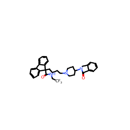 O=C1c2ccccc2CN1C1CCN(CCCCC2(C(=O)NCC(F)(F)F)c3ccccc3-c3ccccc32)CC1